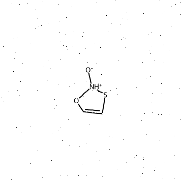 [O-][NH+]1OC=CS1